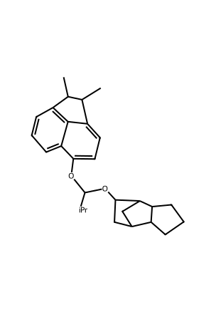 CC(C)C(Oc1ccc2c3c(cccc13)C(C)C2C)OC1CC2CC1C1CCCC21